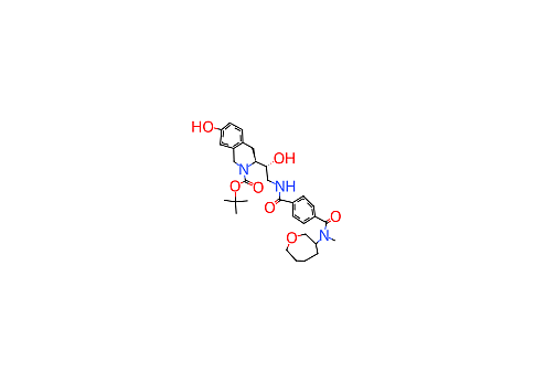 CN(C(=O)c1ccc(C(=O)NC[C@@H](O)[C@@H]2Cc3ccc(O)cc3CN2C(=O)OC(C)(C)C)cc1)C1CCCCOC1